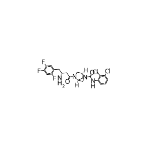 N[C@@H](CC(=O)N1C[C@@H]2C[C@H]1CN2C(=O)Nc1cccc(Cl)c1Cl)Cc1cc(F)c(F)cc1F